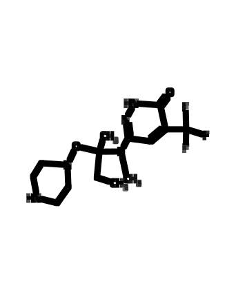 CCC(C)(ON1CCNCC1)N(C)c1cc(C(F)(F)F)c(=O)[nH]n1